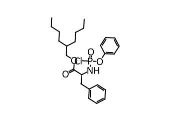 CCCCC(CCCC)COC(=O)[C@H](Cc1ccccc1)NP(=O)(Cl)Oc1ccccc1